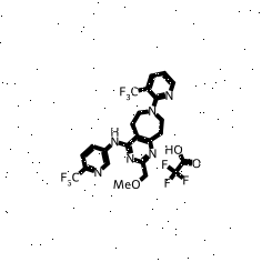 COCc1nc2c(c(Nc3ccc(C(F)(F)F)nc3)n1)CCN(c1ncccc1C(F)(F)F)CC2.O=C(O)C(F)(F)F